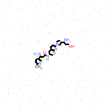 Cc1ccc2c(N)c(C(=O)N[C@H]3COc4nc(N5CC[C@@H]([C@H](N)CCO)C5)ccc4C3)sc2n1